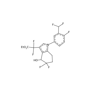 CCOC(=O)C(F)(F)c1cn(-c2ccc(F)c(C(F)F)c2)c2c1C(O)C(F)(F)CC2